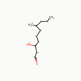 CCCC(C)CCCC(O)CC=O